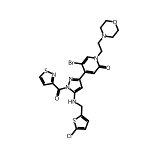 O=C(c1ccsn1)n1nc(-c2cc(=O)n(CCN3CCOCC3)cc2Br)cc1NCc1ccc(Cl)s1